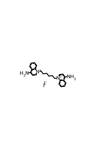 Nc1cc[n+](CCCCCC[n+]2ccc(N)c3ccccc32)c2ccccc12.[I-].[I-]